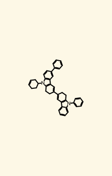 C1=CCC(n2c3c(c4cc(-c5ccccc5)ccc42)C=C(C2=Cc4c(n(-c5ccccc5)c5ccccc45)CC2)CC3)CC1